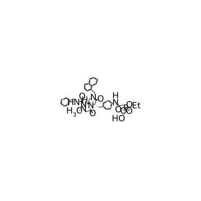 CCOP(=O)(CC(=O)Nc1ccc(C[C@H]2C(=O)N(Cc3cccc4ccccc34)C[C@H]3N2C(=O)CN(C)N3C(=O)NCc2ccccc2)cc1)OCO